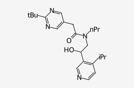 CCCN(CC(O)c1cnccc1C(C)C)C(=O)Cc1cnc(C(C)(C)C)nc1